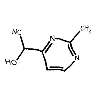 Cc1nccc(C(O)C#N)n1